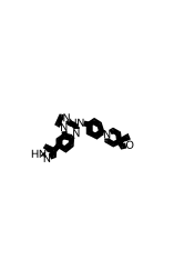 c1cc(N2CCC3(CC2)COC3)ccc1NC1=Nc2ccc(-c3cn[nH]c3)cc2N2CCN=C12